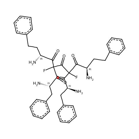 N[C@H](CCc1ccccc1)C(=O)C(F)(C(=O)[C@@H](N)Cc1ccccc1)C(=O)C(F)(C(=O)[C@H](N)CCc1ccccc1)C(=O)[C@@H](N)Cc1ccccc1